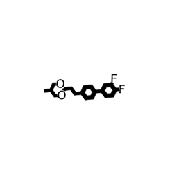 CC1COC(CCc2ccc(-c3ccc(F)c(F)c3)cc2)OC1